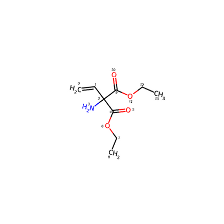 C=CC(N)(C(=O)OCC)C(=O)OCC